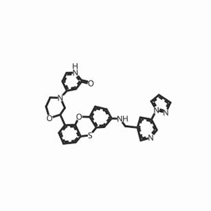 O=c1cc(N2CCOC(c3cccc4c3Oc3ccc(NCc5cncc(-n6cccn6)c5)cc3S4)C2)cc[nH]1